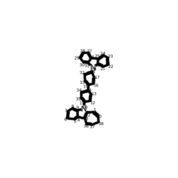 C1#Cc2c(c3ccccc3n2-c2ccc(-c3ccc(-n4c5ccccc5c5ccccc54)cc3)cc2)C=CC1